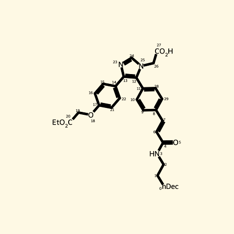 CCCCCCCCCCCCNC(=O)C=Cc1ccc(-c2c(-c3ccc(OCC(=O)OCC)cc3)ncn2CC(=O)O)cc1